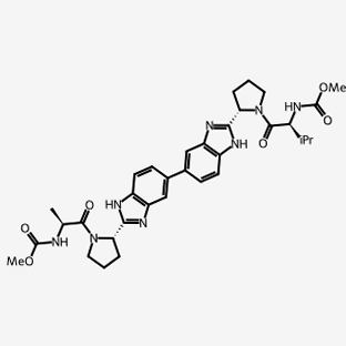 COC(=O)N[C@@H](C)C(=O)N1CCC[C@H]1c1nc2cc(-c3ccc4[nH]c([C@@H]5CCCN5C(=O)[C@@H](NC(=O)OC)C(C)C)nc4c3)ccc2[nH]1